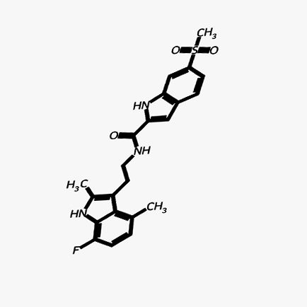 Cc1[nH]c2c(F)ccc(C)c2c1CCNC(=O)c1cc2ccc(S(C)(=O)=O)cc2[nH]1